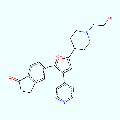 O=C1CCc2cc(-c3oc(C4CCN(CCO)CC4)cc3-c3ccncc3)ccc21